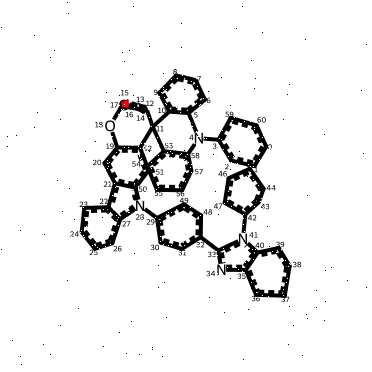 c1ccc(N2c3ccccc3C3(c4ccccc4Oc4cc5c6ccccc6n(-c6ccc(-c7nc8ccccc8n7-c7ccccc7)cc6)c5cc43)c3ccccc32)cc1